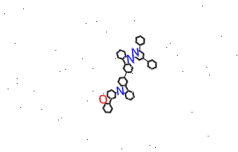 c1ccc(-c2cc(-c3ccccc3)nc(-n3c4ccccc4c4cc(-c5ccc6c(c5)c5ccccc5n6-c5ccc6oc7ccccc7c6c5)ccc43)c2)cc1